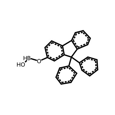 OBOc1ccc2c(c1)C(c1ccccc1)(c1ccccc1)c1ccccc1-2